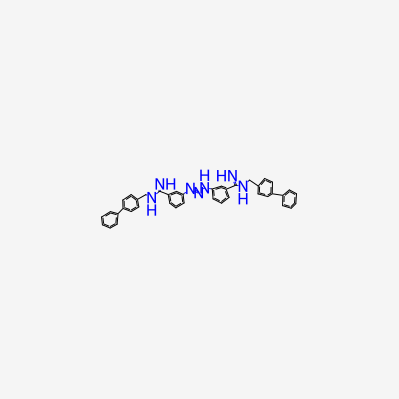 N=C(NCc1ccc(-c2ccccc2)cc1)c1cccc(/N=N/Nc2cccc(C(=N)NCc3ccc(-c4ccccc4)cc3)c2)c1